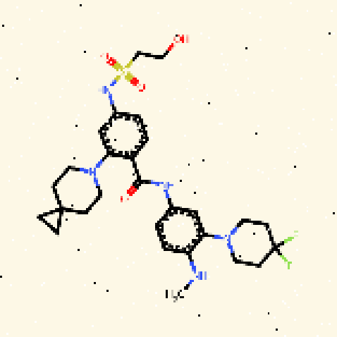 CNc1ccc(NC(=O)c2ccc(NS(=O)(=O)CCO)cc2N2CCC3(CC2)CC3)cc1N1CCC(F)(F)CC1